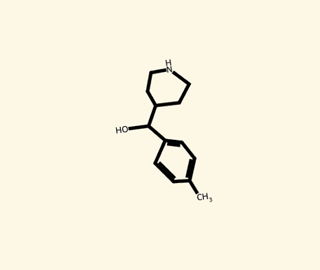 Cc1ccc(C(O)C2CCNCC2)cc1